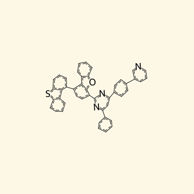 c1ccc(-c2cc(-c3ccc(-c4cccnc4)cc3)nc(-c3ccc(-c4cccc5sc6ccccc6c45)c4c3oc3ccccc34)n2)cc1